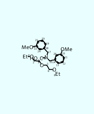 CCOCCOCCOCC.COc1cccc(CN(Cc2cccc(OC)c2)C(=O)O)c1